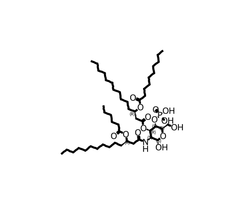 CCCCCCCCCCC[C@H](CC(=O)N[C@H]1[C@@H](OC(=O)C[C@@H](CCCCCCCCCCC)OC(=O)CCCCCCCCC)[C@H](OP(=O)(O)O)[C@@H](CO)O[C@@H]1O)OC(=O)CCCCC